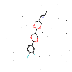 C/C=C/C1COC(C2COC(c3ccc(F)c(F)c3)OC2)OC1